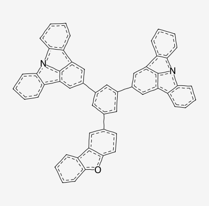 c1ccc2c(c1)oc1ccc(-c3cc(-c4cc5c6ccccc6n6c7ccccc7c(c4)c56)cc(-c4cc5c6ccccc6n6c7ccccc7c(c4)c56)c3)cc12